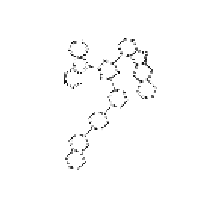 c1cc(-c2ccc(-c3ccc4ccccc4c3)cc2)cc(-c2nc(-c3cccc4oc5cc6ccccc6cc5c34)nc(-n3c4ccccc4c4ccccc43)n2)c1